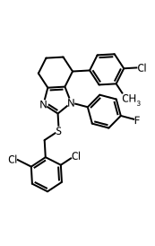 Cc1cc(C2CCCc3nc(SCc4c(Cl)cccc4Cl)n(-c4ccc(F)cc4)c32)ccc1Cl